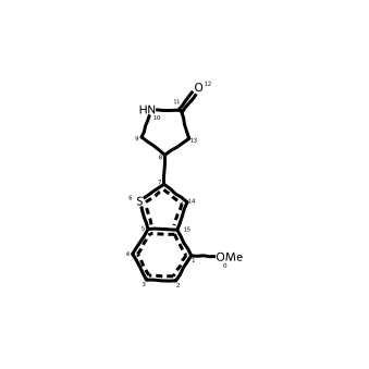 COc1cccc2sc(C3CNC(=O)C3)cc12